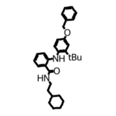 CC(C)(C)c1cc(OCc2ccccc2)ccc1Nc1ccccc1C(=O)NCCC1CCCCC1